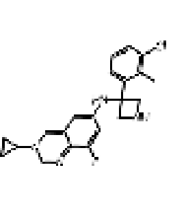 Cc1c(Cl)cccc1C1(Nc2cc(F)c3c(c2)=CN(C2CC2)CN=3)CNC1